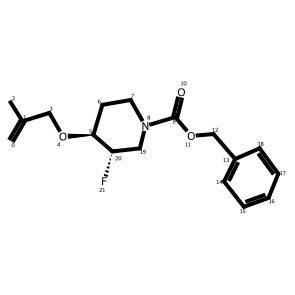 C=C(C)CO[C@H]1CCN(C(=O)OCc2ccccc2)C[C@@H]1F